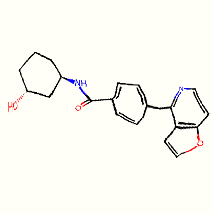 O=C(N[C@@H]1CCC[C@@H](O)C1)c1ccc(-c2nccc3occc23)cc1